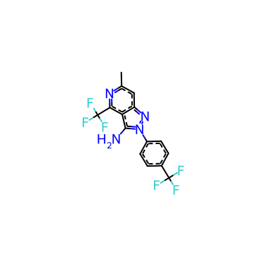 Cc1cc2nn(-c3ccc(C(F)(F)F)cc3)c(N)c2c(C(F)(F)F)n1